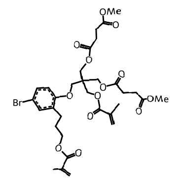 C=C(C)C(=O)OCCCc1cc(Br)ccc1OCC(COC(=O)CCC(=O)OC)(COC(=O)CCC(=O)OC)COC(=O)C(=C)C